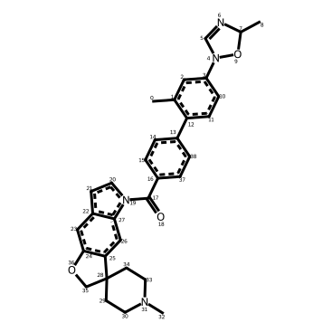 Cc1cc(N2C=NC(C)O2)ccc1-c1ccc(C(=O)n2ccc3cc4c(cc32)C2(CCN(C)CC2)CO4)cc1